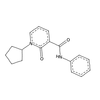 O=C(Nc1ccccc1)c1cccn(C2CCCC2)c1=O